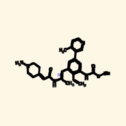 C=Cc1c(/C=C(\C)NC(=O)C=C2CCN(N)CC2)cc(-c2cnccc2C)cc1NC(=O)OC(C)(C)C